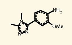 COc1cc(-c2nnc(C)n2C)ccc1N